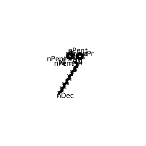 CCCCCCCCCCCCCCCCCCCCCCC=CC(=Nc1cc(CCC)cc(CCC)c1)C(CCCCC)=Nc1cc(CCCCC)cc(CCCCC)c1.[Ni]